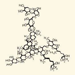 C=CC(C)(O)CC/C=C(\C)C(=O)OC1C(OCC2OC(OC(=O)C3(O)CC4(C)C(=CCC5C6(C)CCC(OC7OC(COC8OCC(O)C(O)C8OC8OCC(O)C(O)C8O)C(O)C(O)C7O)C(C)(C)C6CCC54C)C4CC(C)(C)CCC43)C(OC3OC(C)C(OC4OCC(O)C(OC5OCC(O)C(O)C5O)C4O)C(O)C3O)C(OC(=O)/C(C)=C/CCC(C)(O)C=C)C2O)OC(C)C(O)C1O